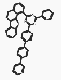 c1ccc(-c2ccc(-c3ccc(-c4nc(-c5ccccc5)nc(-c5cccc6ccc7c8ccccc8oc7c56)n4)cc3)cc2)cc1